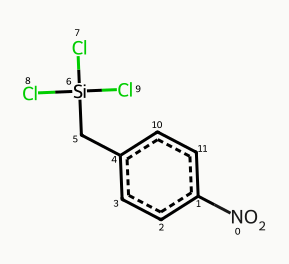 O=[N+]([O-])c1ccc(C[Si](Cl)(Cl)Cl)cc1